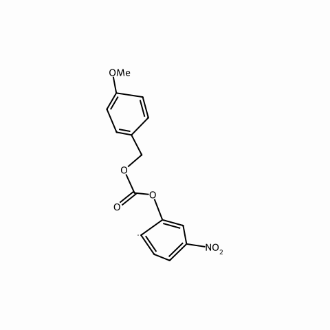 COc1ccc(COC(=O)Oc2[c]ccc([N+](=O)[O-])c2)cc1